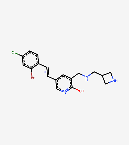 Oc1ncc(/C=C/c2ccc(Cl)cc2Br)cc1CNCC1CNC1